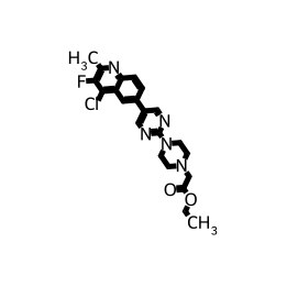 CCOC(=O)CN1CCN(c2ncc(-c3ccc4nc(C)c(F)c(Cl)c4c3)cn2)CC1